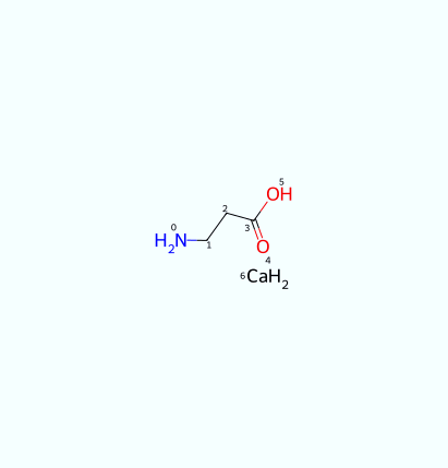 NCCC(=O)O.[CaH2]